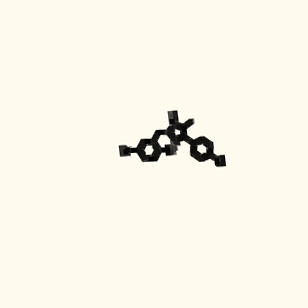 Cc1[nH]c(Cc2cc(Br)ccc2Br)nc1-c1ccc(Cl)cc1